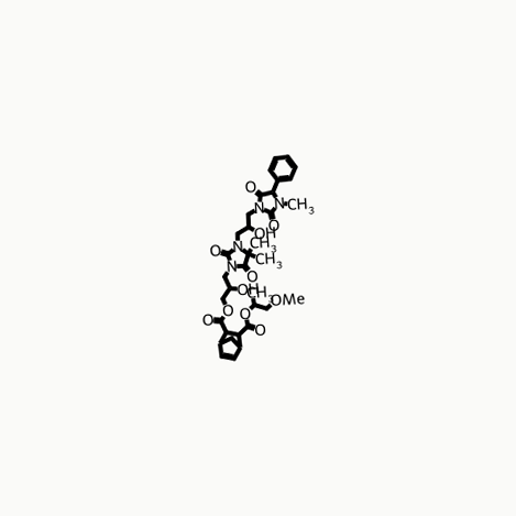 COCC(C)OC(=O)C1C2C=CC(C2)C1C(=O)OCC(O)CN1C(=O)N(CC(O)CN2C(=O)C(c3ccccc3)N(C)C2=O)C(C)(C)C1=O